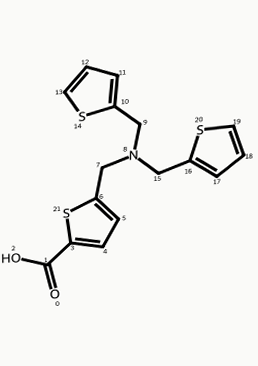 O=C(O)c1ccc(CN(Cc2cccs2)Cc2cccs2)s1